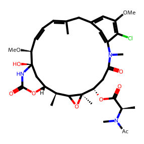 COc1cc2cc(c1Cl)N(C)C(=O)C[C@H](OC(=O)[C@@H](C)N(C)C(C)=O)[C@@]1(C)OC1[C@@H](C)[C@H]1C[C@](O)(NC(=O)O1)[C@@H](OC)/C=C\C=C(/C)C2